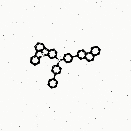 c1ccc(-c2ccc(N(c3ccc(-c4ccc5c(ccc6ccccc65)c4)cc3)c3ccc4c5cccc6c7ccccc7n(c4c3)c65)cc2)cc1